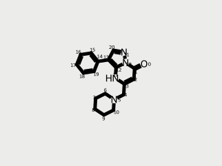 O=c1cc(CN2CCCCC2)[nH]c2c(-c3ccccc3)cnn12